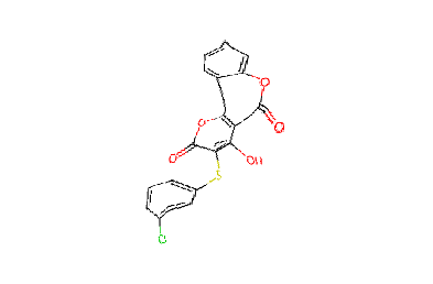 O=c1oc2c(c(O)c1Sc1cccc(Cl)c1)c(=O)oc1ccccc12